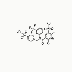 Cc1[nH]c(=O)c(C(=O)N(Cc2ccc(S(=O)(=O)C3CC3)cc2)c2cccc(C(F)(F)F)c2)cc1S(=O)(=O)C1CC1